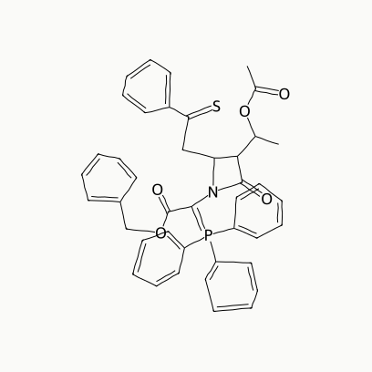 CC(=O)OC(C)C1C(=O)N(C(C(=O)OCc2ccccc2)=P(c2ccccc2)(c2ccccc2)c2ccccc2)C1CC(=S)c1ccccc1